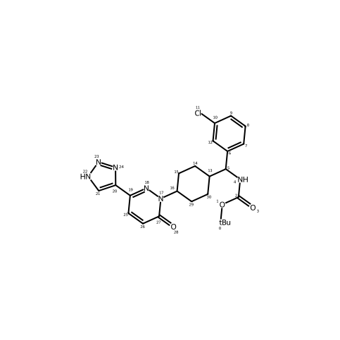 CC(C)(C)OC(=O)NC(c1cccc(Cl)c1)C1CCC(n2nc(-c3c[nH]nn3)ccc2=O)CC1